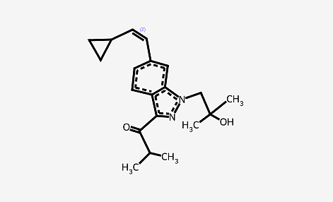 CC(C)C(=O)c1nn(CC(C)(C)O)c2cc(/C=C\C3CC3)ccc12